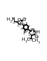 CC(C)C1SC(c2ccc(N3CC(CN)OC3=O)cc2F)=NNC1=O